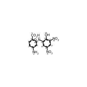 Nc1ccc(C(=O)O)cc1.O=[N+]([O-])c1cc([N+](=O)[O-])c(O)c([N+](=O)[O-])c1